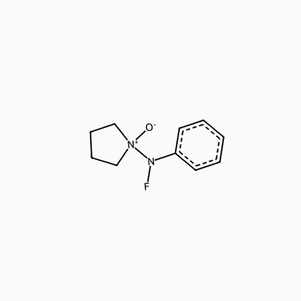 [O-][N+]1(N(F)c2ccccc2)CCCC1